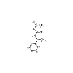 C/C(Cl)=N\C(=O)OC(C)c1ccccc1